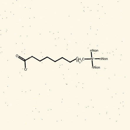 CCCCCCCC(=O)[O-].CCCCCCCCC[N+](C)(CCCCCCCCC)CCCCCCCCC